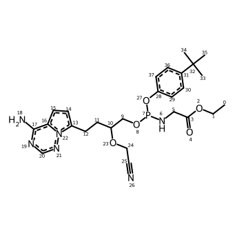 CCOC(=O)CNP(OCC(CCc1ccc2c(N)ncnn12)OCC#N)Oc1ccc(C(C)(C)C)cc1